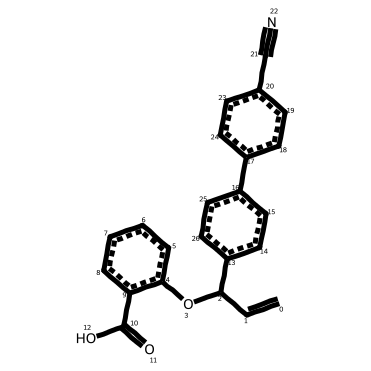 C=CC(Oc1ccccc1C(=O)O)c1ccc(-c2ccc(C#N)cc2)cc1